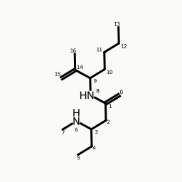 C=C(CC(CC)NC)NC(CCCC)C(=C)C